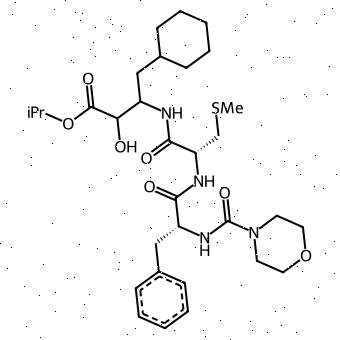 CSC[C@H](NC(=O)[C@@H](Cc1ccccc1)NC(=O)N1CCOCC1)C(=O)NC(CC1CCCCC1)C(O)C(=O)OC(C)C